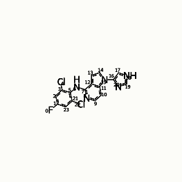 Fc1cc(Cl)c(Nc2nccc3c2ccn3-c2c[nH]cn2)c(Cl)c1